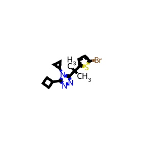 CC(C)(c1ccc(Br)s1)c1nnc(C2CCC2)n1C1CC1